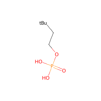 CC(C)(C)CCOP(=O)(O)O